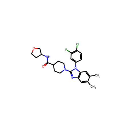 Cc1cc2nc(N3CCC(C(=O)NC4CCOC4)CC3)n(-c3ccc(Cl)c(F)c3)c2cc1C